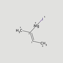 CC=[C](C)[Mg][I]